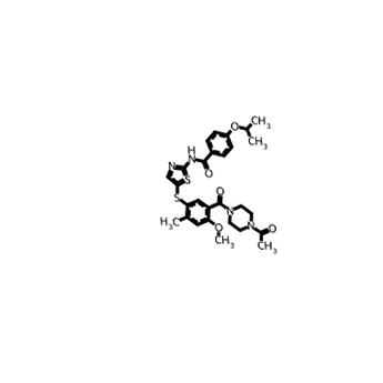 COc1cc(C)c(Sc2cnc(NC(=O)c3ccc(OC(C)C)cc3)s2)cc1C(=O)N1CCN(C(C)=O)CC1